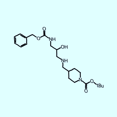 CC(C)(C)OC(=O)N1CCC(CNCC(O)CNC(=O)OCc2ccccc2)CC1